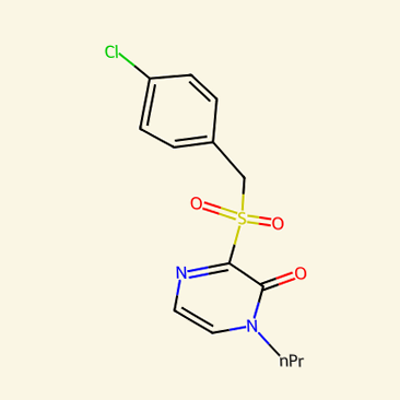 CCCn1ccnc(S(=O)(=O)Cc2ccc(Cl)cc2)c1=O